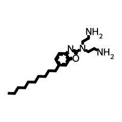 CCCCCCCCCCc1ccc2nc(N(CCN)CCN)oc2c1